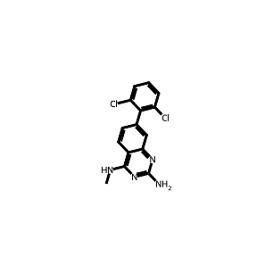 CNc1nc(N)nc2cc(-c3c(Cl)cccc3Cl)ccc12